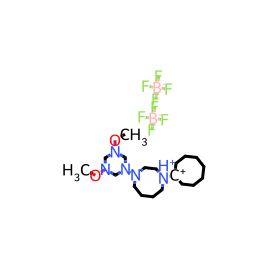 CON1CN(OC)CN(N2CCCC[NH+]([C+]3CCCCCCC3)CC2)C1.F[B-](F)(F)F.F[B-](F)(F)F